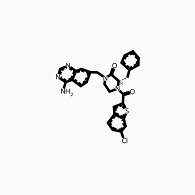 Nc1ncnc2cc(CN3CCN(C(=O)c4cc5ccc(Cl)cc5s4)[C@@H](Cc4ccccc4)C3=O)ccc12